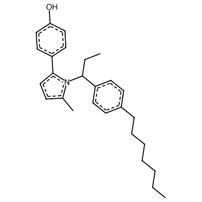 CCCCCCCc1ccc(C(CC)n2c(C)ccc2-c2ccc(O)cc2)cc1